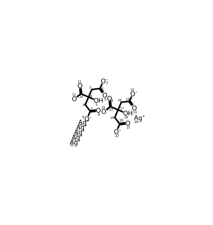 O=C([O-])CC(O)(CC(=O)[O-])C(=O)[O-].O=C([O-])CC(O)(CC(=O)[O-])C(=O)[O-].[Ag+].[Ag+].[Ag+].[Ag+].[Ag+].[Ag+]